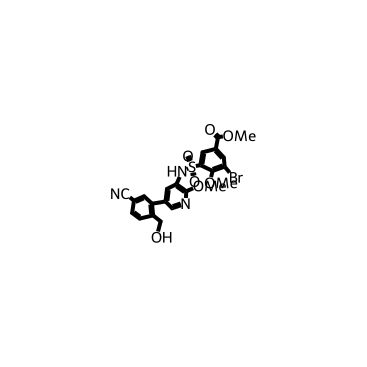 COC(=O)c1cc(Br)c(OC)c(S(=O)(=O)Nc2cc(-c3cc(C#N)ccc3CO)cnc2OC)c1